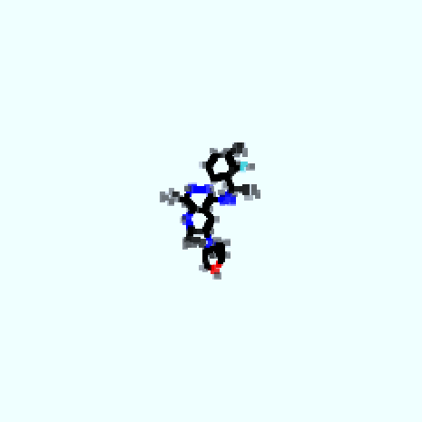 COc1nc2c(C)nnc(N[C@H](C)c3cccc(C(F)(F)F)c3F)c2cc1N1CC2CC1CO2